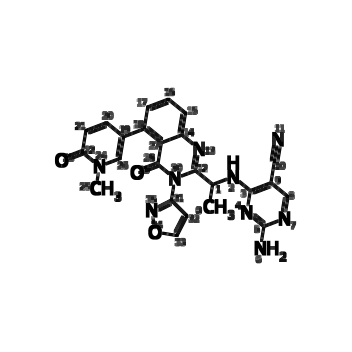 CC(Nc1nc(N)ncc1C#N)c1nc2cccc(-c3ccc(=O)n(C)c3)c2c(=O)n1-c1ccon1